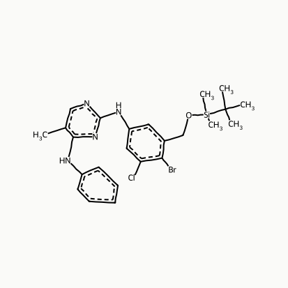 Cc1cnc(Nc2cc(Cl)c(Br)c(CO[Si](C)(C)C(C)(C)C)c2)nc1Nc1ccccc1